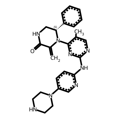 C=C1C(=O)NC[C@H](c2ccccc2)N1c1nc(Nc2ccc(N3CCNCC3)cn2)ncc1C